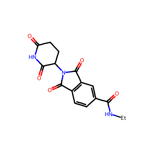 CCNC(=O)c1ccc2c(c1)C(=O)N(C1CCC(=O)NC1=O)C2=O